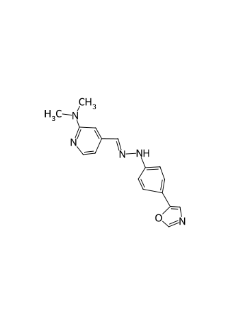 CN(C)c1cc(C=NNc2ccc(-c3cnco3)cc2)ccn1